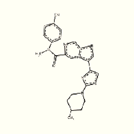 CC1CCN(c2nc(-c3cnc4cnc(C(=O)N(C)c5ccc(C#N)cc5)cn34)cs2)CC1